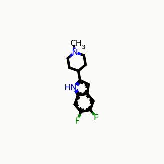 CN1CCC(c2cc3cc(F)c(F)cc3[nH]2)CC1